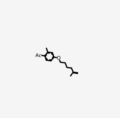 C=C(C)CCCCOc1ccc(C(C)=O)c(C)c1